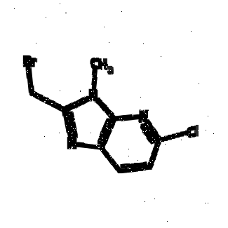 Cn1c(CBr)nc2ccc(Cl)nc21